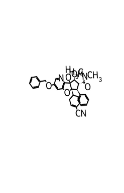 CN(C)C(=O)[C@H]1[C@@H](O)[C@@]2(O)c3ncc(OCc4ccccc4)cc3O[C@@]2(C2C=CC(C#N)=CC2)[C@@H]1c1ccccc1